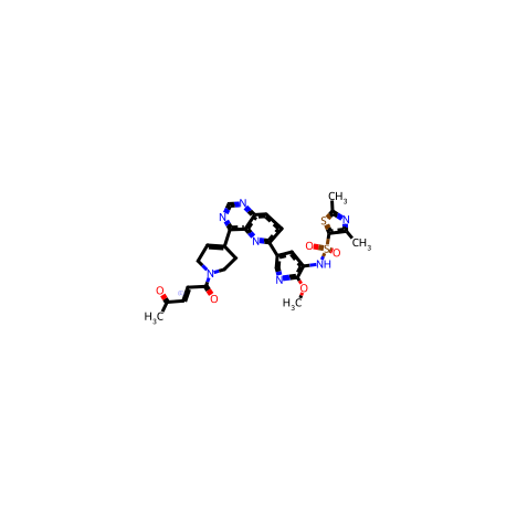 COc1ncc(-c2ccc3ncnc(C4=CCN(C(=O)/C=C/C(C)=O)CC4)c3n2)cc1NS(=O)(=O)c1sc(C)nc1C